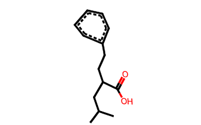 CC(C)CC(CCc1ccccc1)C(=O)O